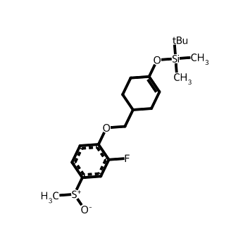 C[S+]([O-])c1ccc(OCC2CC=C(O[Si](C)(C)C(C)(C)C)CC2)c(F)c1